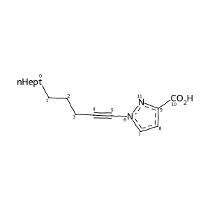 CCCCCCCCCCC#Cn1ccc(C(=O)O)n1